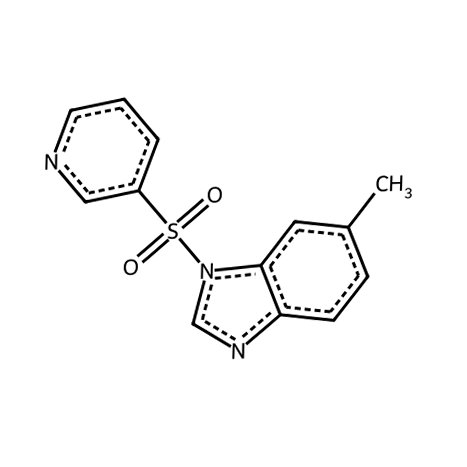 Cc1ccc2ncn(S(=O)(=O)c3cccnc3)c2c1